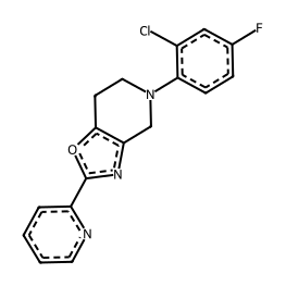 Fc1ccc(N2CCc3oc(-c4ccccn4)nc3C2)c(Cl)c1